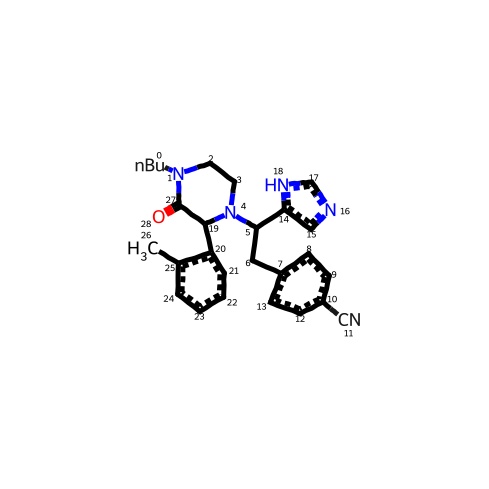 CCCCN1CCN(C(Cc2ccc(C#N)cc2)c2cnc[nH]2)C(c2ccccc2C)C1=O